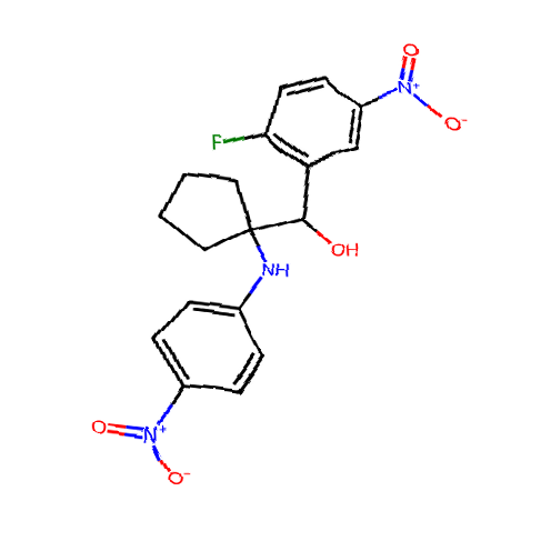 O=[N+]([O-])c1ccc(NC2(C(O)c3cc([N+](=O)[O-])ccc3F)CCCC2)cc1